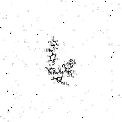 CC1(C)[C@H](NC(=O)/C(=N\O[C@@H](COc2ccc(C(=N)NC3CCNCC3)cc2)C(=O)O)c2nc(N)sc2Cl)C(=O)N1OS(=O)(=O)O